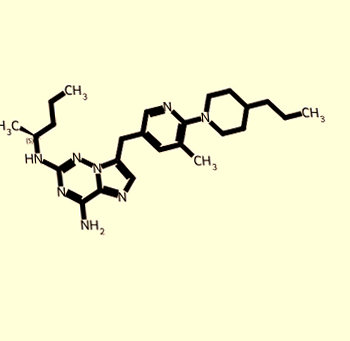 CCCC1CCN(c2ncc(Cc3cnc4c(N)nc(N[C@@H](C)CCC)nn34)cc2C)CC1